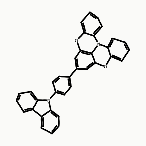 c1ccc2c(c1)Oc1cc(-c3ccc(-n4c5ccccc5c5ccccc54)cc3)cc3c1N2c1ccccc1O3